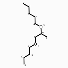 CCCCCOC(C)COCCCC